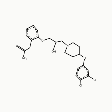 NC(=O)Cc1ccccc1OCC(O)CN1CCC(Oc2ccc(Cl)c(Cl)c2)CC1